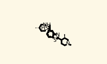 C[C@H]1CC[SH]2(c3ccc4sc(C5CCN(C)C[C@@H]5C)nc4c3)(C=C2)NC1